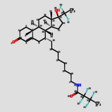 C[C@]12CCC(=O)C=C1C[C@@H](CCCCCCCCNC(=O)C(F)(F)C(F)(F)C(F)(F)F)[C@@H]1[C@@H]2CC[C@@]2(C)[C@H]1CC[C@@]2(O)C(F)(F)C(F)(F)F